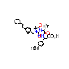 CCCCc1ccc(C(CC(=O)O)NC(=O)[C@H](CC(C)C)N2C(=O)N(Cc3ccc(C=Cc4ccccc4)cc3)C(C)(C)C2=O)cc1